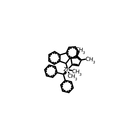 CC1=C(C)C[C]([Zr]([CH3])([CH3])(=[C](c2ccccc2)c2ccccc2)[CH]2c3ccccc3-c3ccccc32)=C1